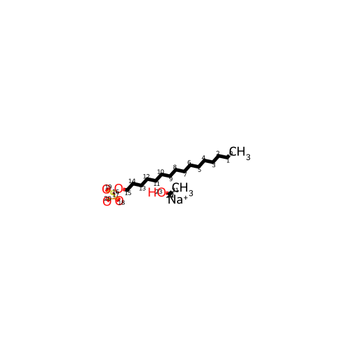 CCCCCCCCCCCCCCCCOS(=O)(=O)[O-].CCO.[Na+]